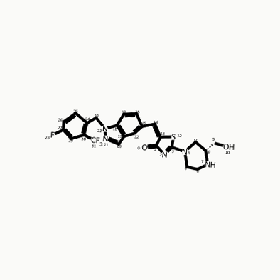 O=C1N=C(N2CCN[C@@H](CO)C2)SC1=Cc1ccc2c(cnn2Cc2ccc(F)cc2C(F)(F)F)c1